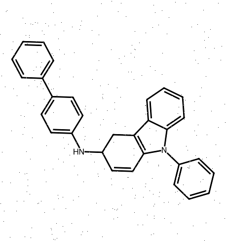 C1=CC(Nc2ccc(-c3ccccc3)cc2)Cc2c1n(-c1ccccc1)c1ccccc21